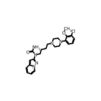 COc1c(Cl)cccc1N1CCN(CCCCN(C(N)=O)c2cc3ccccn3n2)CC1